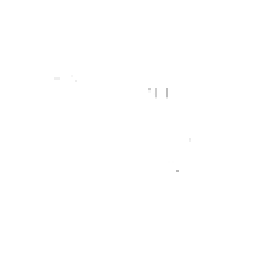 CS(=O)(=O)c1ccc2c(CCN)c[nH]c2c1